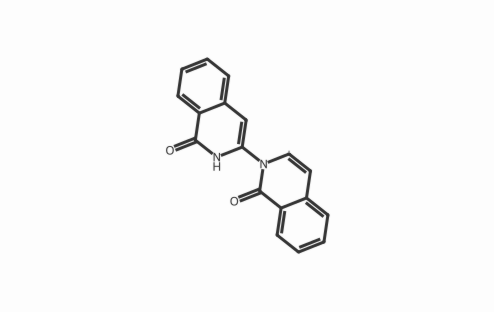 O=c1[nH]c(-n2[c]cc3ccccc3c2=O)cc2ccccc12